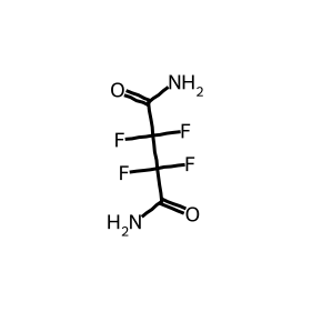 NC(=O)C(F)(F)C(F)(F)C(N)=O